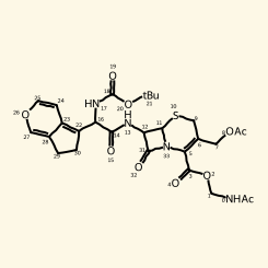 CC(=O)NCOC(=O)C1=C(COC(C)=O)CSC2C(NC(=O)C(NC(=O)OC(C)(C)C)C3=C4C=COC=C4CC3)C(=O)N12